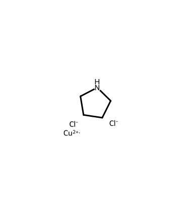 C1CCNC1.[Cl-].[Cl-].[Cu+2]